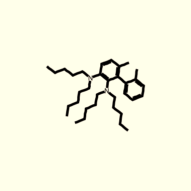 CCCCCN(CCCCC)c1ccc(C)c(-c2ccccc2C)c1N(CCCCC)CCCCC